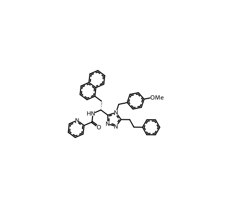 COc1ccc(Cn2c(CCc3ccccc3)nnc2[C@@H](Cc2cccc3ccccc23)NC(=O)c2ccccn2)cc1